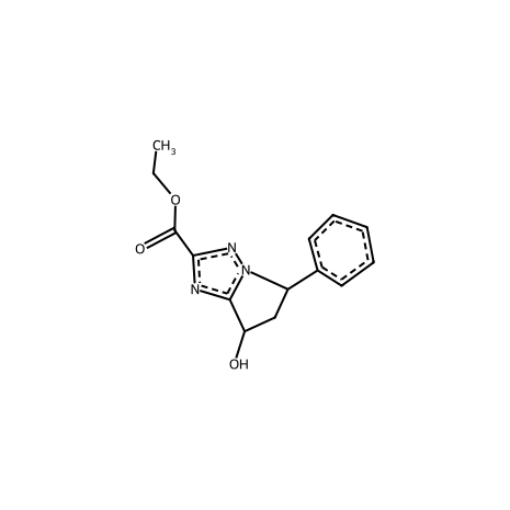 CCOC(=O)c1nc2n(n1)C(c1ccccc1)CC2O